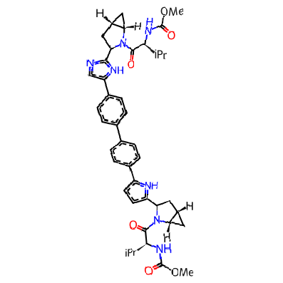 COC(=O)N[C@H](C(=O)N1C(c2ccc(-c3ccc(-c4ccc(-c5cnc(C6C[C@@H]7C[C@@H]7N6C(=O)[C@@H](NC(=O)OC)C(C)C)[nH]5)cc4)cc3)[nH]2)C[C@@H]2C[C@@H]21)C(C)C